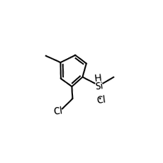 Cc1ccc([SiH](C)Cl)c(CCl)c1